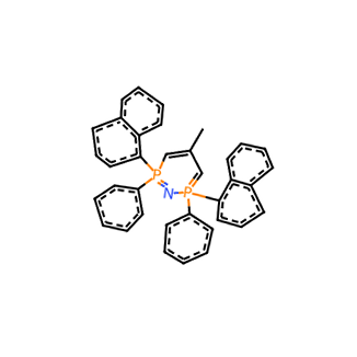 CC1=CP(c2ccccc2)(c2cccc3ccccc23)=NP(c2ccccc2)(c2cccc3ccccc23)=C1